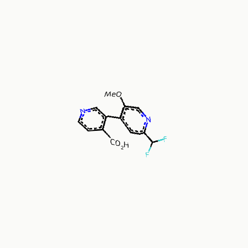 COc1cnc(C(F)F)cc1-c1cnccc1C(=O)O